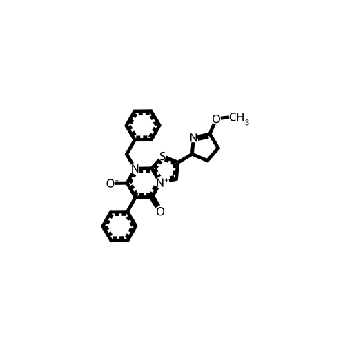 COC1=NC(c2c[n+]3c(=O)c(-c4ccccc4)c([O-])n(Cc4ccccc4)c3s2)CC1